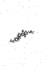 CC(=O)CCc1cc(F)c(OCc2cccc(Oc3ccc(C(C)=O)cc3)c2)c(F)c1